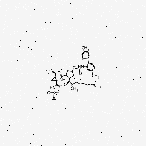 C=CCCCCN(C)C(=O)C1CC(OC(=O)Nc2cc(C)ccc2-c2ccc(C)cn2)CC1C(=O)NC1(C(=O)NS(=O)(=O)C2CC2)CC1C=C